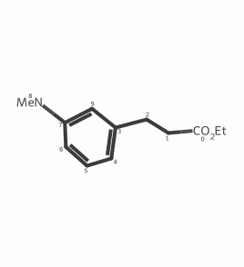 CCOC(=O)CCc1cccc(NC)c1